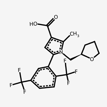 Cc1c(C(=O)O)cc(-c2cc(C(F)(F)F)ccc2C(F)(F)F)n1C[C@H]1CCCO1